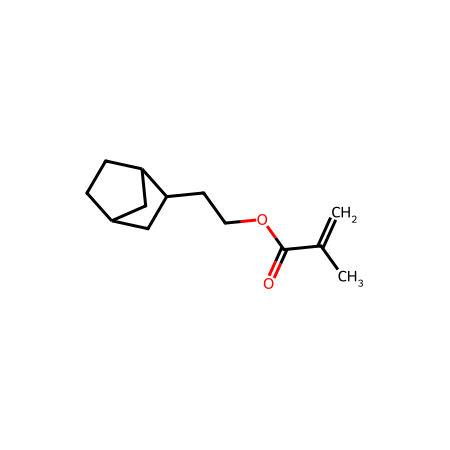 C=C(C)C(=O)OCCC1CC2CCC1C2